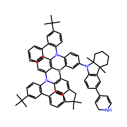 Cc1cc2c3c(c1)N(c1ccc(C(C)(C)C)cc1-c1ccccc1)c1cc4c(cc1B3c1cc(N3c5ccc(C6=CCNC=C6)cc5C5(C)CCCCC35C)ccc1N2c1ccc(C(C)(C)C)cc1-c1ccccc1)CC(C)(C)C4